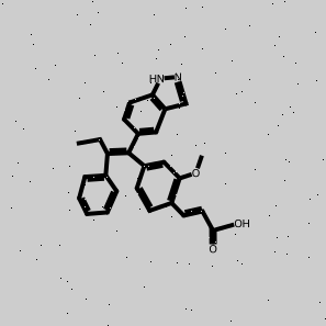 CC/C(=C(/c1ccc(/C=C/C(=O)O)c(OC)c1)c1ccc2[nH]ncc2c1)c1ccccc1